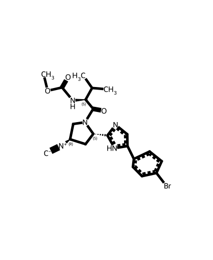 [C-]#[N+][C@@H]1C[C@@H](c2ncc(-c3ccc(Br)cc3)[nH]2)N(C(=O)[C@@H](NC(=O)OC)C(C)C)C1